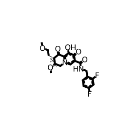 COCC[C@@H]1C(=O)c2c(O)c(=O)c(C(=O)NCc3ccc(F)cc3F)cn2C[C@@H]1OC